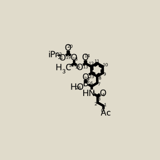 CC(=O)CCC(=O)NC1Cc2cccc(C(=O)OC(C)OC(=O)OC(C)C)c2OB1O